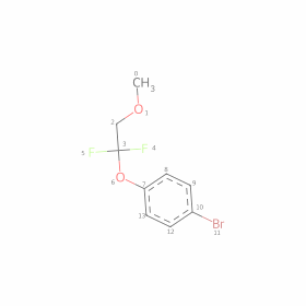 COCC(F)(F)Oc1ccc(Br)cc1